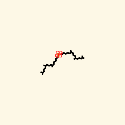 CC(C)CCCC(C)CCCC(C)CCCCCOS(=O)(=O)OCCCCCC(C)CCCC(C)CCCC(C)C